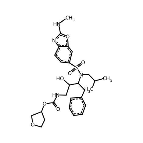 CNc1nc2ccc(S(=O)(=O)N(CC(C)C)C(Cc3ccccc3)C(O)CNC(=O)OC3CCOC3)cc2o1